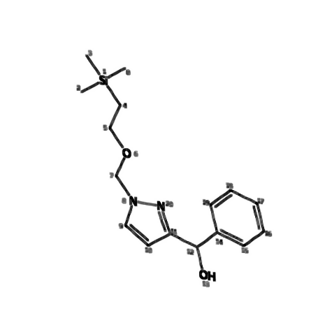 C[Si](C)(C)CCOCn1ccc(C(O)c2ccccc2)n1